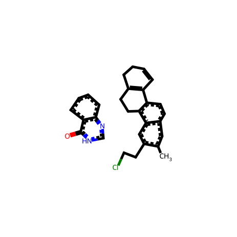 Cc1cc2ccc3c(c2cc1CCCl)CCC1=C3C=CCC1.O=c1[nH]cnc2ccccc12